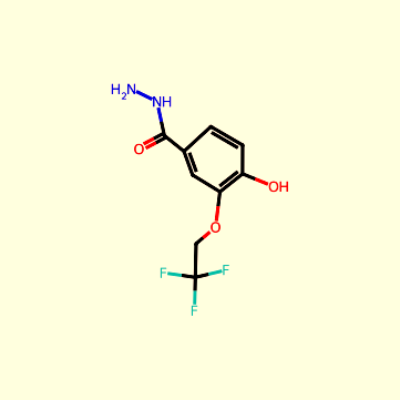 NNC(=O)c1ccc(O)c(OCC(F)(F)F)c1